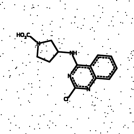 O=C(O)N1CCC(Nc2nc(Cl)nc3ccccc23)C1